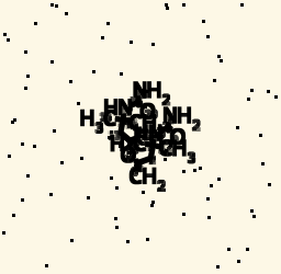 C=C(CC(C)(C)NC(N)=O)OC(=C)CC(C)(C)NC(N)=O